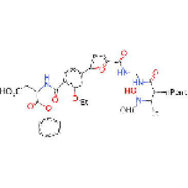 CCCCCC(C(=O)NCNC(=O)c1ccc(-c2ccc(C(=O)NC(CC(=O)O)C(=O)Oc3ccccc3)c(OCC)c2)o1)C(CC)N(O)C=O